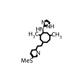 CSC1=CCC(CCC2CCC(C)CC(Nc3ncc[nH]3)C(C)C2)N=C1